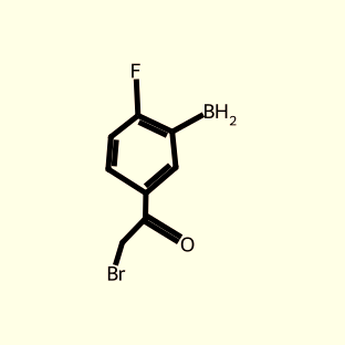 Bc1cc(C(=O)CBr)ccc1F